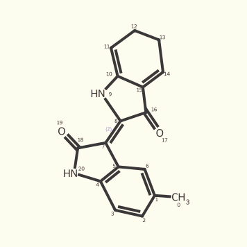 Cc1ccc2c(c1)/C(=C1/NC3=CCCC=C3C1=O)C(=O)N2